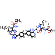 CCCN(CC(=O)Nc1nccc2cc(-c3ccc(-c4cnc(CN(CCC)C(=O)CNC(=O)OC)[nH]4)cc3)ccc12)C(=O)CNC(=O)OC